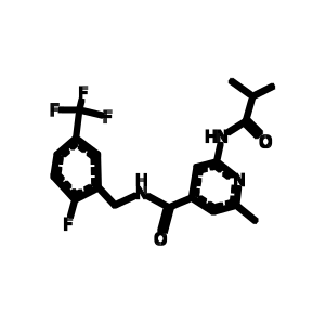 Cc1cc(C(=O)NCc2cc(C(F)(F)F)ccc2F)cc(NC(=O)C(C)C)n1